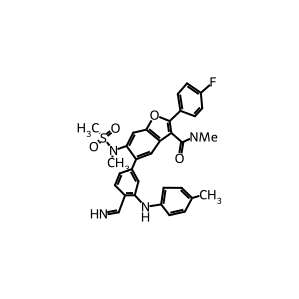 CNC(=O)c1c(-c2ccc(F)cc2)oc2cc(N(C)S(C)(=O)=O)c(-c3ccc(C=N)c(Nc4ccc(C)cc4)c3)cc12